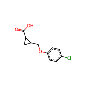 O=C(O)C1CC1COc1ccc(Cl)cc1